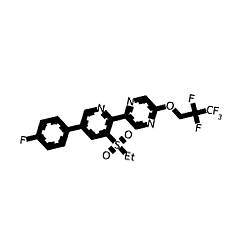 CCS(=O)(=O)c1cc(-c2ccc(F)cc2)cnc1-c1cnc(OCC(F)(F)C(F)(F)F)cn1